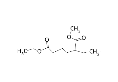 [CH2]CC(CCCC(=O)OCC)C(=O)OC